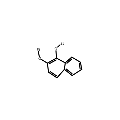 CCOc1ccc2c[c]ccc2c1OCC